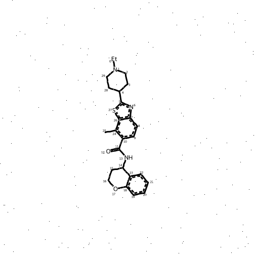 CCN1CCC(c2nc3ccc(C(=O)NC4CCOc5ccccc54)c(C)c3s2)CC1